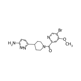 COc1cc(C(=O)N2CCC(c3ccc(N)nn3)CC2)ncc1Br